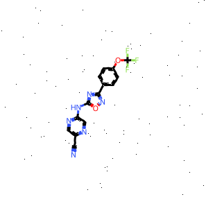 N#Cc1cnc(Nc2nc(-c3ccc(OC(F)(F)F)cc3)no2)cn1